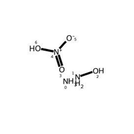 N.NO.O=[N+]([O-])O